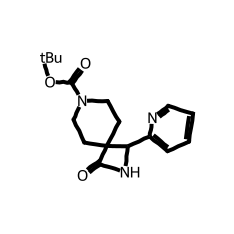 CC(C)(C)OC(=O)N1CCC2(CC1)C(=O)NC2c1ccccn1